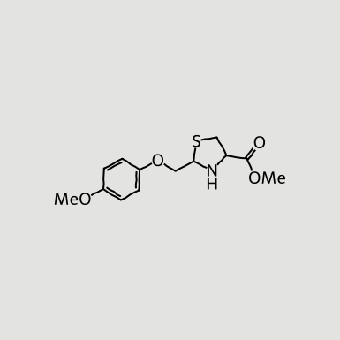 COC(=O)C1CSC(COc2ccc(OC)cc2)N1